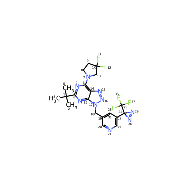 CC(C)(C)c1nc(N2CCC(F)(F)C2)c2nnn(Cc3cncc(C4(C(F)(F)F)N=N4)c3)c2n1